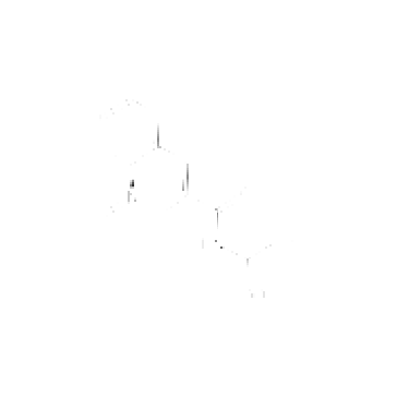 C=N[C@H]1CC=CC=C1/C=C(\C)C(=O)NC(CCC)CCC